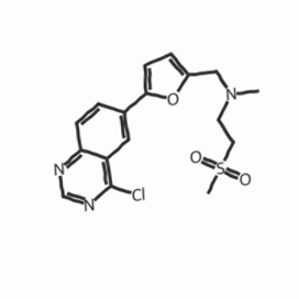 CN(CCS(C)(=O)=O)Cc1ccc(-c2ccc3ncnc(Cl)c3c2)o1